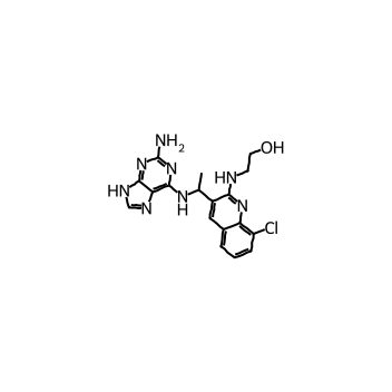 CC(Nc1nc(N)nc2[nH]cnc12)c1cc2cccc(Cl)c2nc1NCCO